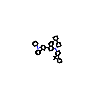 CC1(C)c2ccccc2-c2ccc(N(C3=CC=C(c4ccc5c(c4)c4ccccc4n5C4CC=CCC4)C4C=CC=CC34)c3cccc(C4C=CC=CC4)c3)cc21